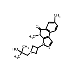 Cc1ccc2c(c1)c(=O)n(C)c1c2cnn1C1CN(CC(C)(C)O)C1